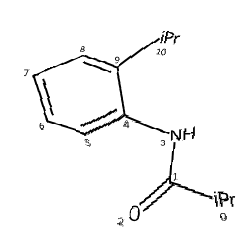 CC(C)C(=O)Nc1ccccc1C(C)C